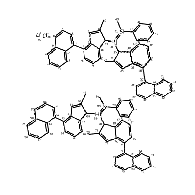 CC1=Cc2c(-c3cccc4ccccc34)cccc2[CH]1[Hf]([CH]1C(C)=Cc2c(-c3cccc4ccccc34)cccc21)=[Si](C)c1ccccc1.CC1=Cc2c(-c3cccc4ccccc34)cccc2[CH]1[Hf]([CH]1C(C)=Cc2c(-c3cccc4ccccc34)cccc21)=[Si](C)c1ccccc1.[Cl-].[Cl-]